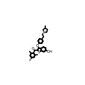 Cc1cc(F)cc(C)c1C(=O)c1sc2cc(O)ccc2c1Oc1ccc(CCN2CCC(C)C2)cc1